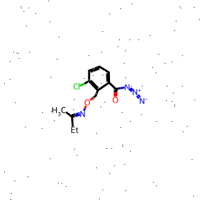 CCC(C)=NOCc1c(Cl)cccc1C(=O)N=[N+]=[N-]